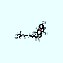 C[C@H](CCC(=O)OCC(=O)OCC(F)(F)S(=O)(=O)O)[C@H]1CC[C@H]2[C@@H]3C(O)C[C@@H]4CC(O)CC[C@]4(C)[C@H]3CC(O)[C@]12C